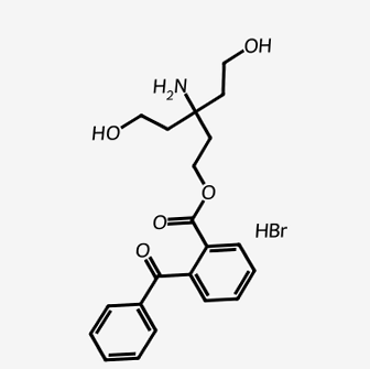 Br.NC(CCO)(CCO)CCOC(=O)c1ccccc1C(=O)c1ccccc1